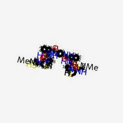 CN[C@@H](C)C(=S)N[C@H]1CCS[C@H]2CC(C)(C)[C@@H](C(=O)N[C@H]3c4ccccc4C[C@H]3C(=O)N[C@H]3CC[C@H](NC(=O)[C@@H]4Cc5ccccc5[C@@H]4NC(=O)[C@H]4N5C(=O)[C@@H](NC(C)(S)[C@H](C)NC)CCS[C@H]5CC4(C)C)CC3)N2C1=O